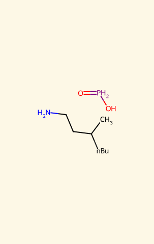 CCCCC(C)CCN.O=[PH2]O